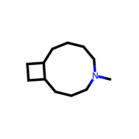 CN1CCCCC2CCC2CCC1